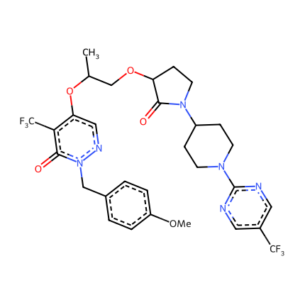 COc1ccc(Cn2ncc(OC(C)COC3CCN(C4CCN(c5ncc(C(F)(F)F)cn5)CC4)C3=O)c(C(F)(F)F)c2=O)cc1